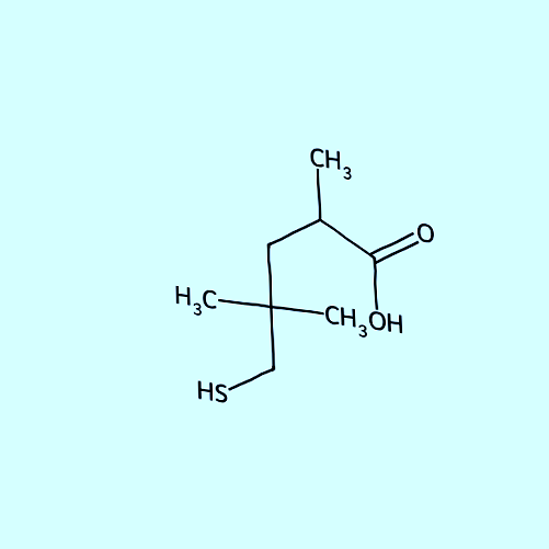 CC(CC(C)(C)CS)C(=O)O